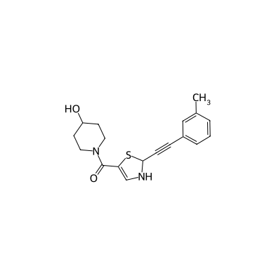 Cc1cccc(C#CC2NC=C(C(=O)N3CCC(O)CC3)S2)c1